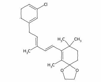 CC(C=CC1=C(C)C2(CCC1(C)C)OCCO2)=CCC1=CC(Cl)=CC[CH]1